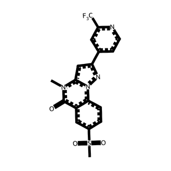 Cn1c(=O)c2cc(S(C)(=O)=O)ccc2n2nc(-c3ccnc(C(F)(F)F)c3)cc12